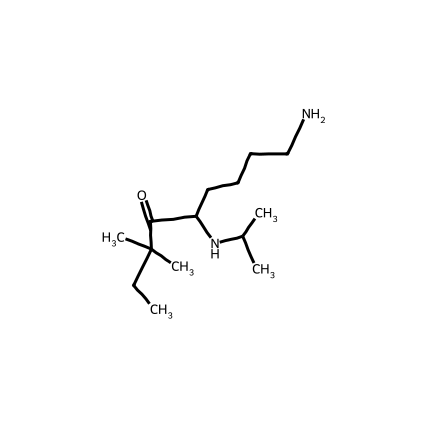 CCC(C)(C)C(=O)C(CCCCN)NC(C)C